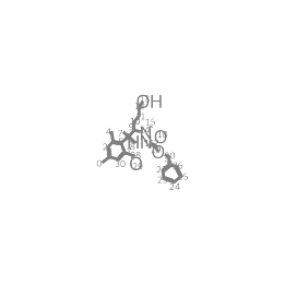 Cc1cc(C)c(C(C)(C)C(CCCO)N(C)NC(=O)OCc2ccccc2)c(C=O)c1